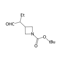 CCC(C=O)C1CN(C(=O)OC(C)(C)C)C1